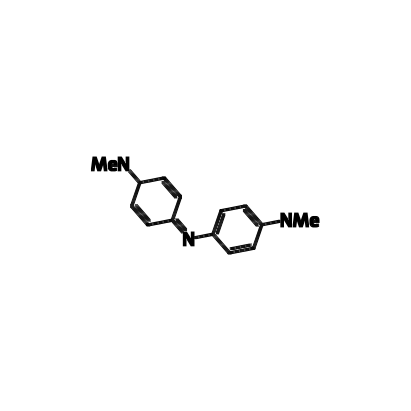 CNc1ccc(N=C2C=CC(NC)C=C2)cc1